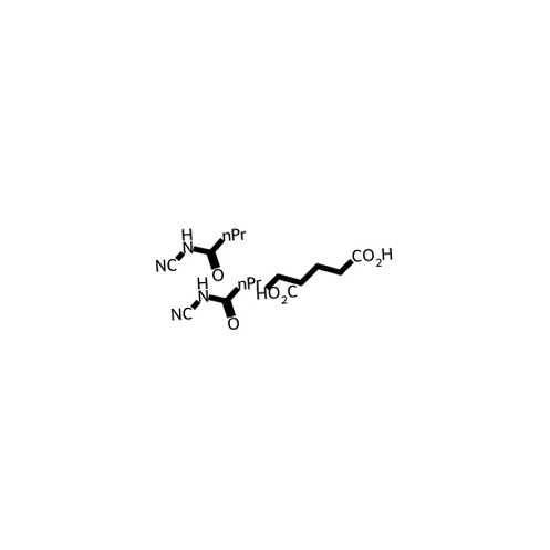 CCCC(=O)NC#N.CCCC(=O)NC#N.O=C(O)CCCCC(=O)O